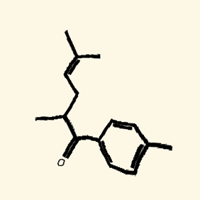 CC(C)=CCC(C)C(=O)c1ccc(C)cc1